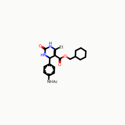 CCC1=C(C(=O)OCC2CCCCC2)C(c2ccc(NC(C)=O)cc2)NC(=O)N1